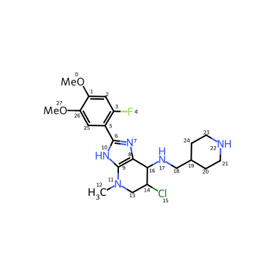 COc1cc(F)c(-c2nc3c([nH]2)N(C)CC(Cl)C3NCC2CCNCC2)cc1OC